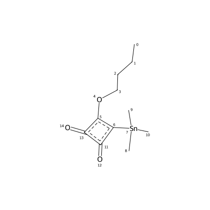 CCCCOc1[c]([Sn]([CH3])([CH3])[CH3])c(=O)c1=O